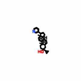 C[C@]12CC[C@@](O)(C3CC3)CC1CC[C@@H]1[C@@H]2CC[C@]2(C)C(c3cccnc3)=CC[C@@H]12